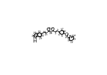 O=C(/C=C/c1ccc(OCc2ccccn2)cc1)CC(=O)/C=C/c1ccc2[nH]ccc2c1